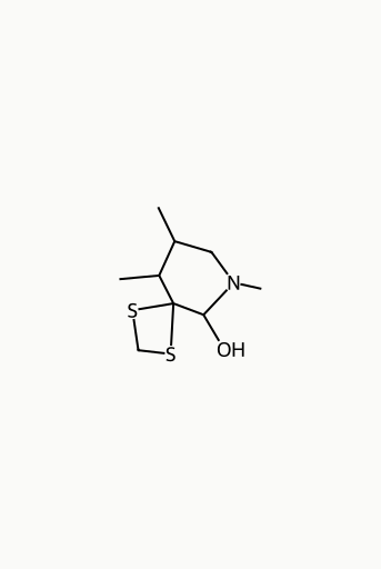 CC1CN(C)C(O)C2(SCS2)C1C